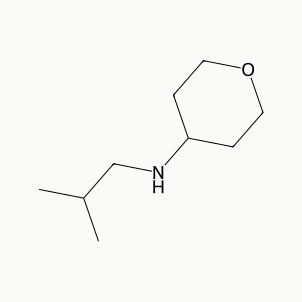 CC(C)CNC1CCOCC1